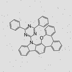 c1ccc(-c2nc(-c3ccccc3)nc(-n3c4ccccc4c4ccc5c(c43)Oc3ccccc3-c3ccccc3-5)n2)cc1